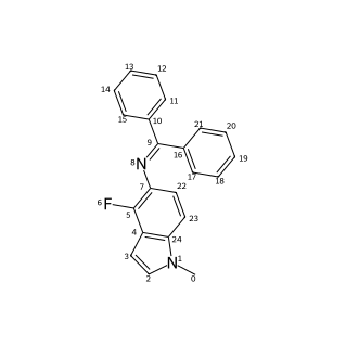 Cn1ccc2c(F)c(N=C(c3ccccc3)c3ccccc3)ccc21